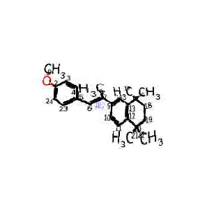 COc1ccc(/C=C(\C)c2ccc3c(c2)C(C)(C)CCC3(C)C)cc1